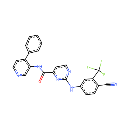 N#Cc1ccc(Nc2nccc(C(=O)Nc3cnccc3-c3ccccc3)n2)cc1C(F)(F)F